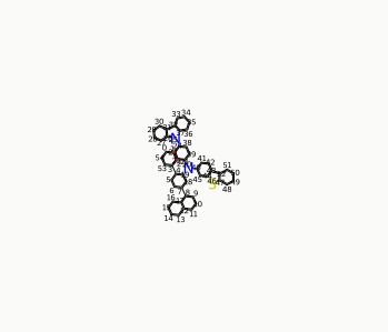 c1ccc(-c2ccc(-c3cccc4ccccc34)cc2N(c2ccc(-n3c4ccccc4c4ccccc43)cc2)c2ccc3c(c2)sc2ccccc23)cc1